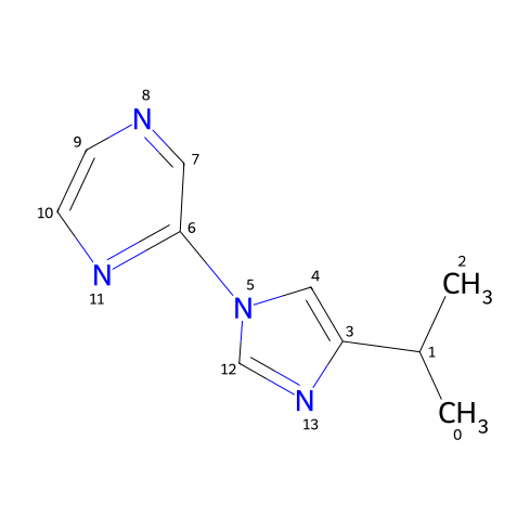 CC(C)c1cn(-c2cnccn2)cn1